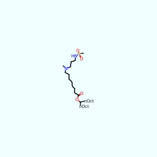 CCCCCCCCC(CCCCCCCC)OC(=O)CCCCCCCN(C)CCCNS(C)(=O)=O